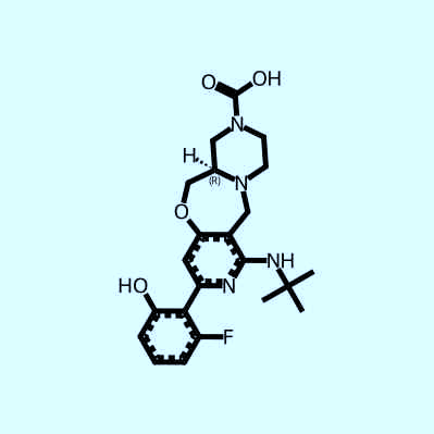 CC(C)(C)Nc1nc(-c2c(O)cccc2F)cc2c1CN1CCN(C(=O)O)C[C@@H]1CO2